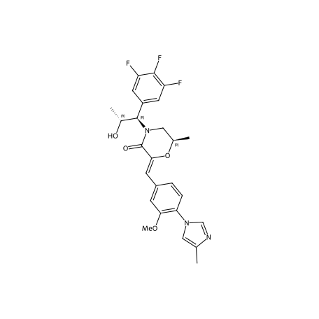 COc1cc(C=C2O[C@H](C)CN([C@H](c3cc(F)c(F)c(F)c3)[C@@H](C)O)C2=O)ccc1-n1cnc(C)c1